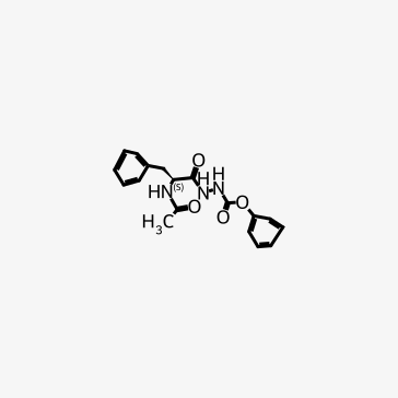 CC(=O)N[C@@H](Cc1ccccc1)C(=O)NNC(=O)Oc1ccccc1